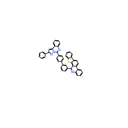 c1ccc(-c2cc3c4ccccc4nc(-c4ccc(-c5cccc(-c6nc7ccccc7c7ccc8c9ccccc9sc8c67)c5)cc4)n3n2)cc1